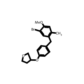 COc1cc(C)c(Cc2ccc(OC3CCOC3)cc2)cc1Br